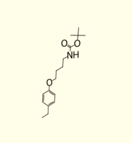 CCc1ccc(OCCCCNC(=O)OC(C)(C)C)cc1